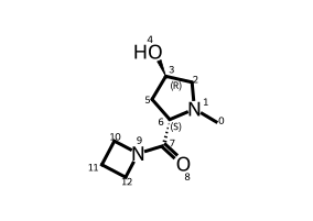 CN1C[C@H](O)C[C@H]1C(=O)N1CCC1